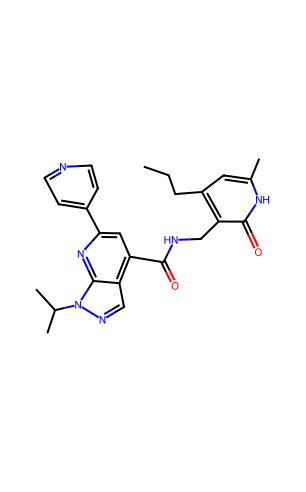 CCCc1cc(C)[nH]c(=O)c1CNC(=O)c1cc(-c2ccncc2)nc2c1cnn2C(C)C